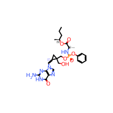 CCC[C@H](C)OC(=O)[C@H](C)NP(=O)(OCC1(CO)C/C1=C/n1cnc2c(=O)[nH]c(N)nc21)Oc1ccccc1